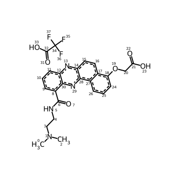 CN(C)CCNC(=O)c1cccc2nc3ccc4c(OCC(=O)O)cccc4c3nc12.O=C(O)C(F)(F)F